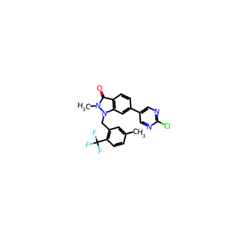 Cc1ccc(C(F)(F)F)c(Cn2c3cc(-c4cnc(Cl)nc4)ccc3c(=O)n2C)c1